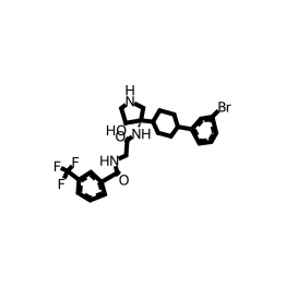 O=C(CNC(=O)c1cccc(C(F)(F)F)c1)N[C@@]1(C2CCC(c3cccc(Br)c3)CC2)CNC[C@@H]1O